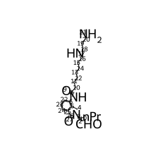 CCCC(C=O)N1Cc2c(NC(=O)CCCCCCCNCCCN)cccc2C1=O